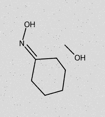 CO.ON=C1CCCCC1